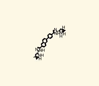 C[C@@]12C[C@@H](c3ncc(-c4ccc5cc(-c6ccc(-c7cnc([C@@H]8C[C@H]9C[C@H]9N8)[nH]7)cc6)ccc5c4)[nH]3)N[C@@H]1C2